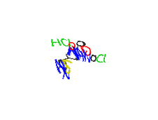 C/N=c1\sc(C2CCN(C(=O)[C@H](NC(=O)Nc3ccc(Cl)cc3)c3ccccc3)CC2)cn1C.Cl